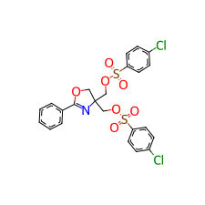 O=S(=O)(OCC1(COS(=O)(=O)c2ccc(Cl)cc2)COC(c2ccccc2)=N1)c1ccc(Cl)cc1